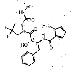 CCCNC(=O)[C@@H]1CC(F)(F)CN1C(=O)[C@@H](O)[C@H](Cc1ccccc1)NC(=O)c1cccn1C